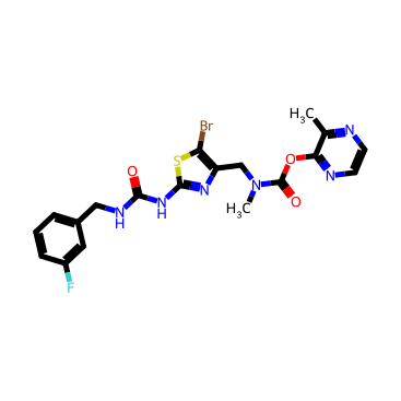 Cc1nccnc1OC(=O)N(C)Cc1nc(NC(=O)NCc2cccc(F)c2)sc1Br